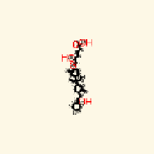 CCC(CC)(c1ccc(CCC2(O)CCCCC2)c(C)c1)c1ccc(OC[C@@H](O)CCCC(=O)O)c(C)c1